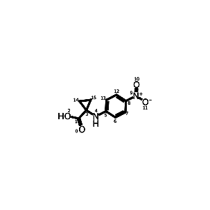 O=C(O)C1(Nc2ccc([N+](=O)[O-])cc2)CC1